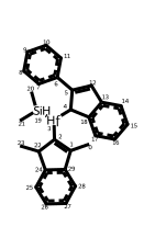 CC1=[C]([Hf]([CH]2C(c3ccccc3)=Cc3ccccc32)[SiH](C)C)C(C)c2ccccc21